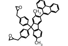 Cc1ccc2c(c1)C(c1ccc(CC3CO3)cc1)(c1ccc(CC3CO3)cc1)c1cc(C)c(-c3cc4ccccc4c4ccccc34)cc1-2